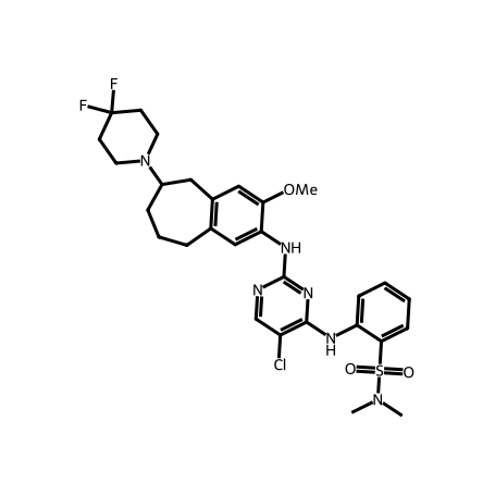 COc1cc2c(cc1Nc1ncc(Cl)c(Nc3ccccc3S(=O)(=O)N(C)C)n1)CCCC(N1CCC(F)(F)CC1)C2